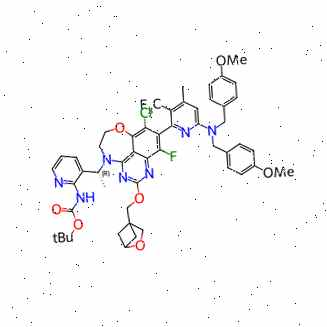 COc1ccc(CN(Cc2ccc(OC)cc2)c2cc(C)c(C(F)(F)F)c(-c3c(Cl)c4c5c(nc(OCC67COC(C6)C7)nc5c3F)N([C@H](C)c3cccnc3NC(=O)OC(C)(C)C)CCO4)n2)cc1